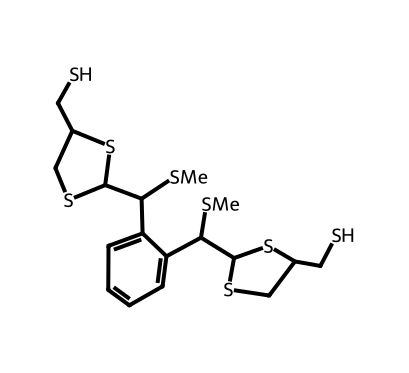 CSC(c1ccccc1C(SC)C1SCC(CS)S1)C1SCC(CS)S1